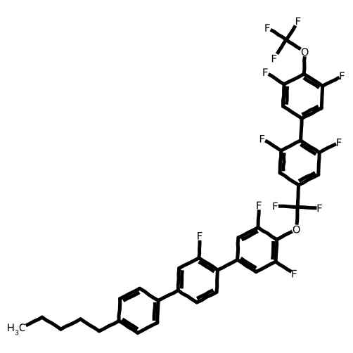 CCCCCc1ccc(-c2ccc(-c3cc(F)c(OC(F)(F)c4cc(F)c(-c5cc(F)c(OC(F)(F)F)c(F)c5)c(F)c4)c(F)c3)c(F)c2)cc1